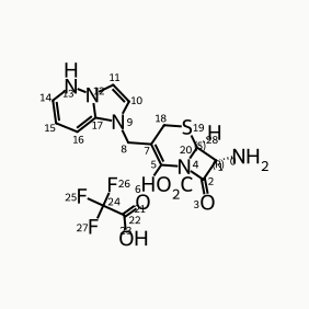 N[C@@H]1C(=O)N2C(C(=O)O)=C(CN3C=CN4NC=CC=C34)CS[C@@H]12.O=C(O)C(F)(F)F